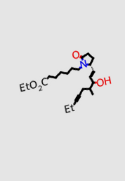 CCC#CCC(C)C(O)/C=C/[C@H]1CCC(=O)N1CCCCCCC(=O)OCC